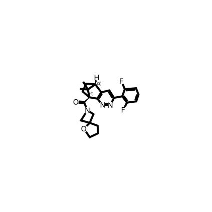 CC1(C)[C@@H]2CC[C@@]1(C(=O)N1CC3(CCCO3)C1)c1nnc(-c3c(F)cccc3F)cc12